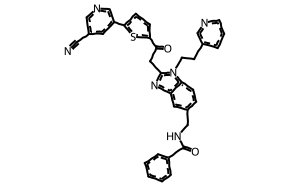 N#Cc1cncc(-c2ccc(C(=O)Cc3nc4cc(CNC(=O)c5ccccc5)ccc4n3CCc3cccnc3)s2)c1